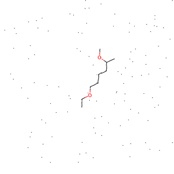 CCOCC[CH]CC(C)OC